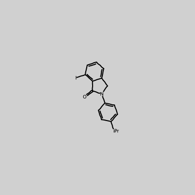 CC(C)c1ccc(N2Cc3cccc(I)c3C2=O)cc1